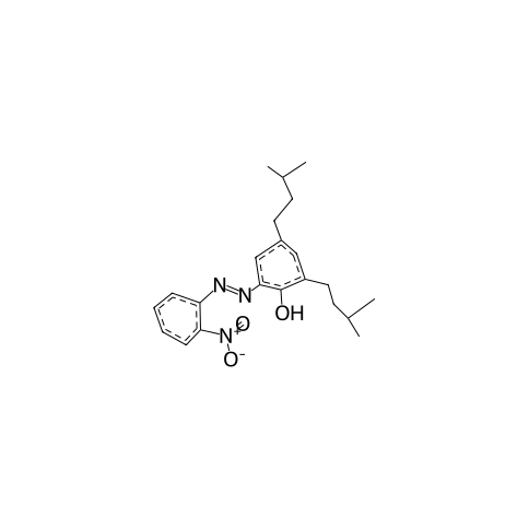 CC(C)CCc1cc(CCC(C)C)c(O)c(/N=N/c2ccccc2[N+](=O)[O-])c1